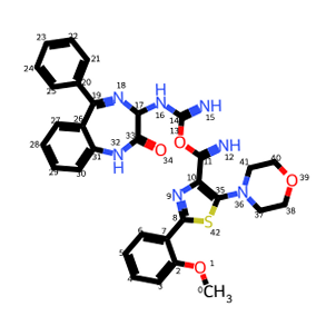 COc1ccccc1-c1nc(C(=N)OC(=N)NC2N=C(c3ccccc3)c3ccccc3NC2=O)c(N2CCOCC2)s1